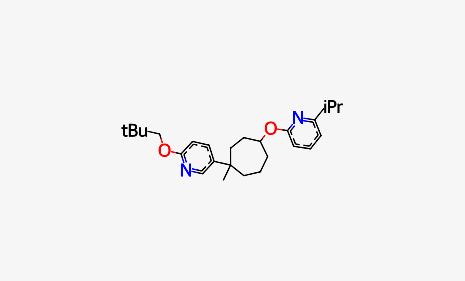 CC(C)c1cccc(OC2CCCC(C)(c3ccc(OCC(C)(C)C)nc3)CC2)n1